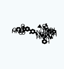 CCC[C@H](NC(=O)[C@@H]1[C@H]2CCC[C@H]2CN1C(=O)[C@@H](NC(=O)[C@@H](NC(=O)c1cnc(C2CCC(c3ccc4c(c3)C(=O)N(C3CCC(=O)NC3=O)C4=O)C(C)C2)cn1)C1CCCCC1)C(C)(C)C)C(O)C(=O)NC1CC1